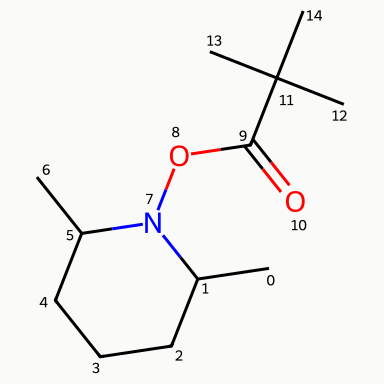 CC1CCCC(C)N1OC(=O)C(C)(C)C